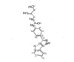 O=C(NCC(O)CO)Nc1ccc(-c2n[nH]c3c2Cc2ccccc2-3)cc1